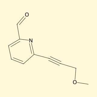 COCC#Cc1cccc(C=O)n1